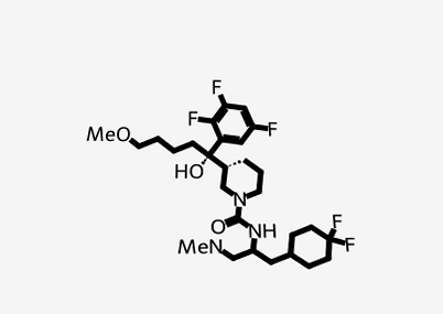 CNCC(CC1CCC(F)(F)CC1)NC(=O)N1CCC[C@@H]([C@@](O)(CCCCOC)c2cc(F)cc(F)c2F)C1